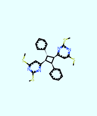 CSc1cc([C@H]2[C@H](c3ccccc3)[C@@H](c3cc(SC)nc(SC)n3)[C@H]2c2ccccc2)nc(SC)n1